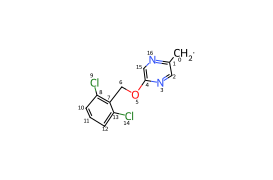 [CH2]c1cnc(OCc2c(Cl)cccc2Cl)cn1